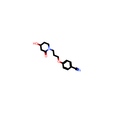 N#Cc1ccc(OCCCN2CCC(O)CC2=O)cc1